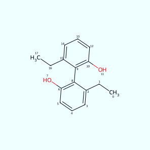 CCc1cccc(O)c1-c1c(O)cccc1CC